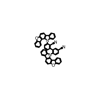 N#Cc1ccc(-n2c3ccccc3c3ccc4oc5ccccc5c4c32)c(-c2cccc(-n3c4ccccc4c4ccc5oc6ccccc6c5c43)c2C#N)c1